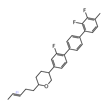 C/C=C/CCC1CCC(c2ccc(-c3ccc(-c4ccc(C)c(F)c4F)cc3)c(F)c2)CO1